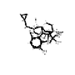 CO[C@@]12CC[C@@]3(C[C@@H]1C(C)(O)C(C)(C)C)[C@@H](C)N(CC1CC1)CC[C@@]31c3c(C)ccc(O)c3O[C@@H]21